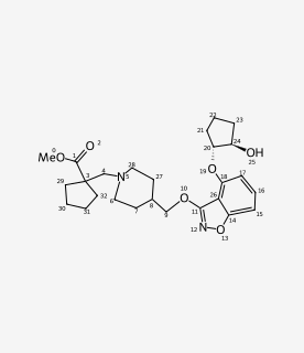 COC(=O)C1(CN2CCC(COc3noc4cccc(O[C@@H]5CCC[C@H]5O)c34)CC2)CCCC1